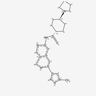 Cn1cc(-c2cc3cc(NC(=O)[C@H]4CC[C@H](N5CCCC5)CC4)ncc3cn2)nn1